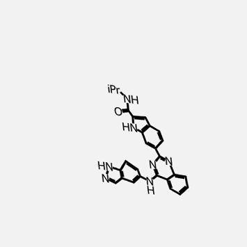 CC(C)NC(=O)c1cc2ccc(-c3nc(Nc4ccc5[nH]ncc5c4)c4ccccc4n3)cc2[nH]1